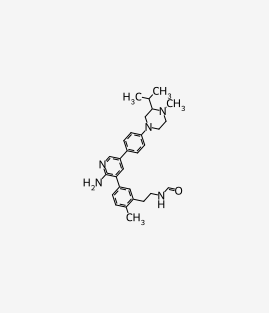 Cc1ccc(-c2cc(-c3ccc(N4CCN(C)C(C(C)C)C4)cc3)cnc2N)cc1CCNC=O